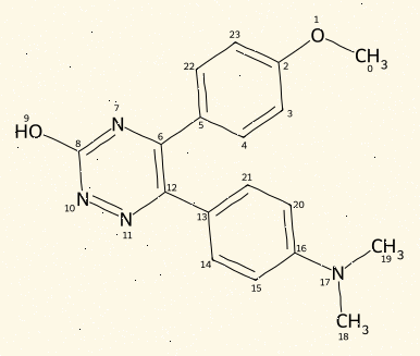 COc1ccc(-c2nc(O)nnc2-c2ccc(N(C)C)cc2)cc1